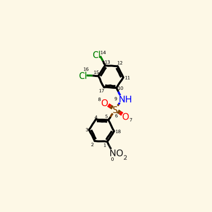 O=[N+]([O-])c1cccc(S(=O)(=O)Nc2ccc(Cl)c(Cl)c2)c1